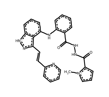 Cn1cccc1C(=O)NNC(=O)c1ccccc1Nc1cccc2[nH]nc(/C=C/c3ccccn3)c12